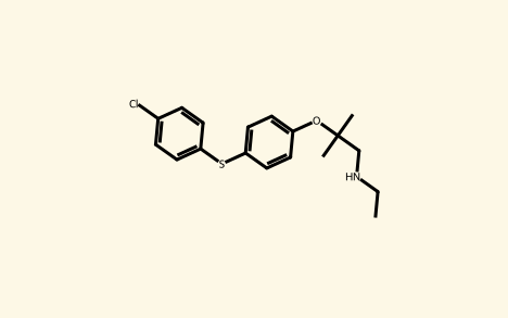 CCNCC(C)(C)Oc1ccc(Sc2ccc(Cl)cc2)cc1